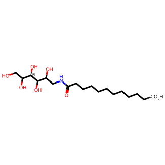 O=C(O)CCCCCCCCCCC(=O)NCC(O)C(O)[C@H](O)C(O)CO